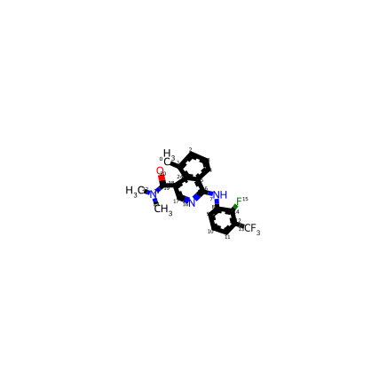 Cc1cccc2c(Nc3cccc(C(F)(F)F)c3F)ncc(C(=O)N(C)C)c12